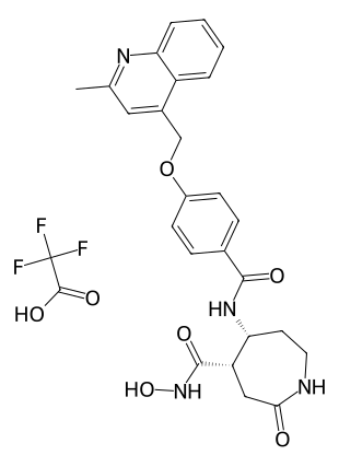 Cc1cc(COc2ccc(C(=O)N[C@@H]3CCNC(=O)C[C@@H]3C(=O)NO)cc2)c2ccccc2n1.O=C(O)C(F)(F)F